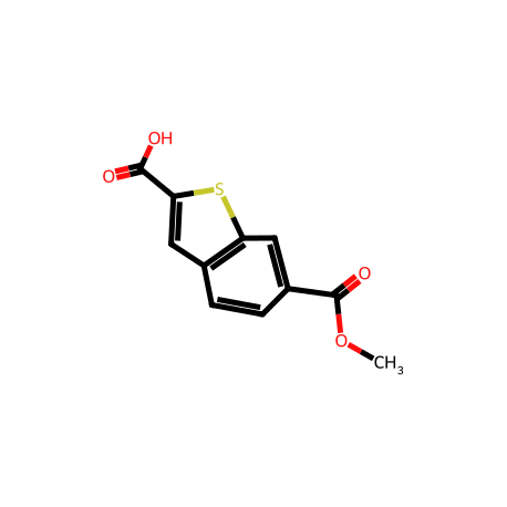 COC(=O)c1ccc2cc(C(=O)O)sc2c1